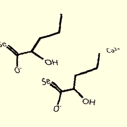 CCCC(O)C([O-])=[Se].CCCC(O)C([O-])=[Se].[Ca+2]